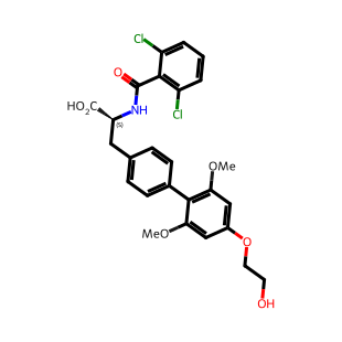 COc1cc(OCCO)cc(OC)c1-c1ccc(C[C@H](NC(=O)c2c(Cl)cccc2Cl)C(=O)O)cc1